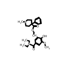 CCN(CC)C(=O)c1ccc(O)c(OC)c1.CCOC(=O)C1(c2ccccc2)CCN(C)CC1